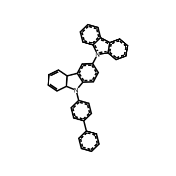 C1=CC2c3cc(-n4c5ccccc5c5ccccc54)ccc3N(c3ccc(-c4ccccc4)cc3)C2C=C1